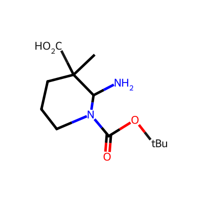 CC(C)(C)OC(=O)N1CCCC(C)(C(=O)O)C1N